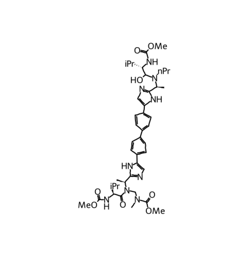 CCCN(C(O)[C@@H](NC(=O)OC)C(C)C)[C@@H](C)c1ncc(-c2ccc(-c3ccc(-c4cnc([C@H](C)N(CN(C)C(=O)OC)C(=O)[C@@H](NC(=O)OC)C(C)C)[nH]4)cc3)cc2)[nH]1